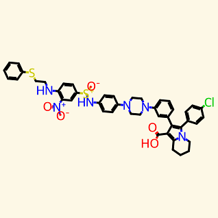 O=C(O)c1c(-c2cccc(N3CCN(c4ccc(N[S+]([O-])c5ccc(NCCSc6ccccc6)c([N+](=O)[O-])c5)cc4)CC3)c2)c(-c2ccc(Cl)cc2)n2c1CCCC2